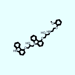 COc1ccccc1OCCNCC(O)COc1cccc2c1c1ccccc1n2CC(O)COc1cccc2[nH]c3ccccc3c12